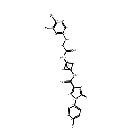 Cc1cc(C(=O)NC23CC(NC(=O)COc4ccc(Cl)c(F)c4)(C2)C3)nn1-c1ccc(Cl)cc1